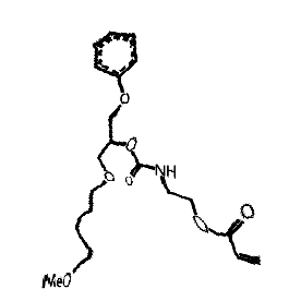 C=CC(=O)OCCNC(=O)OC(COCCCCOC)COc1ccccc1